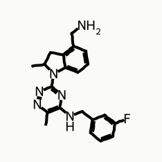 Cc1nnc(N2c3cccc(CN)c3CC2C)nc1NCc1cccc(F)c1